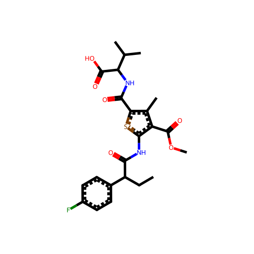 CCC(C(=O)Nc1sc(C(=O)NC(C(=O)O)C(C)C)c(C)c1C(=O)OC)c1ccc(F)cc1